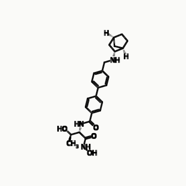 C[C@@H](O)[C@H](NC(=O)c1ccc(-c2ccc(CN[C@@H]3C[C@H]4CC[C@@H]3C4)cc2)cc1)C(=O)NO